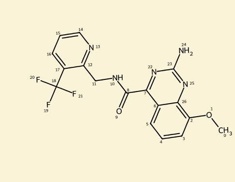 COc1cccc2c(C(=O)NCc3ncccc3C(F)(F)F)nc(N)nc12